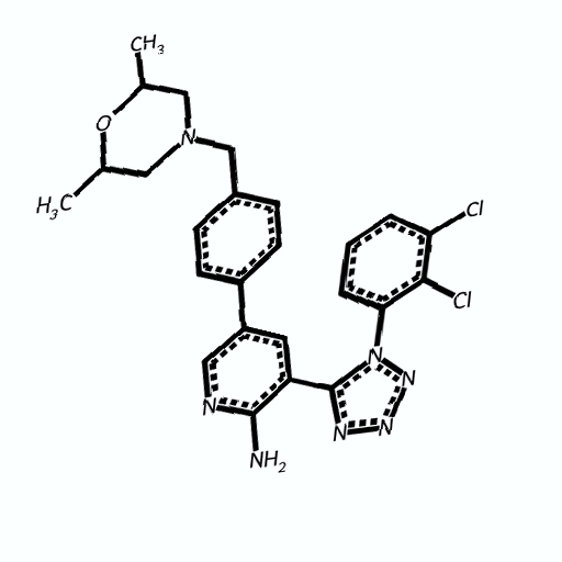 CC1CN(Cc2ccc(-c3cnc(N)c(-c4nnnn4-c4cccc(Cl)c4Cl)c3)cc2)CC(C)O1